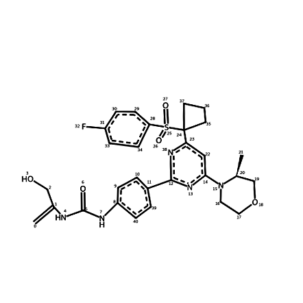 C=C(CO)NC(=O)Nc1ccc(-c2nc(N3CCOC[C@@H]3C)cc(C3(S(=O)(=O)c4ccc(F)cc4)CCC3)n2)cc1